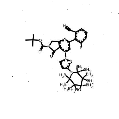 BC1(B)N(c2ccn(-c3cc(-c4c(F)cccc4C#N)nc4c3C(=O)N(C(=O)OC(C)(C)C)C4)n2)C(B)(B)C(B)(B)C(B)(O)C1(B)B